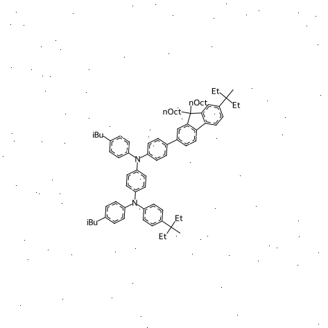 CCCCCCCCC1(CCCCCCCC)c2cc(-c3ccc(N(c4ccc(C(C)CC)cc4)c4ccc(N(c5ccc(C(C)CC)cc5)c5ccc(C(C)(CC)CC)cc5)cc4)cc3)ccc2-c2ccc(C(C)(CC)CC)cc21